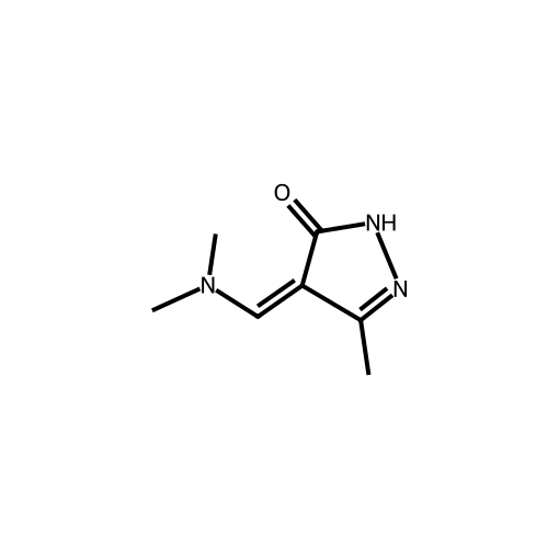 CC1=NNC(=O)/C1=C\N(C)C